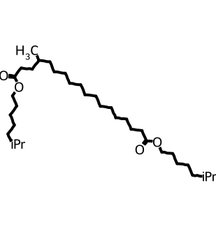 CC(C)CCCCCOC(=O)CCCCCCCCCCCCCC(C)CCC(=O)OCCCCCC(C)C